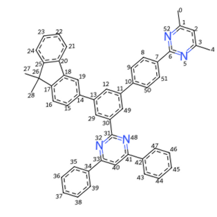 Cc1cc(C)nc(-c2ccc(-c3cc(-c4ccc5c(c4)-c4ccccc4C5(C)C)cc(-c4nc(-c5ccccc5)cc(-c5ccccc5)n4)c3)cc2)n1